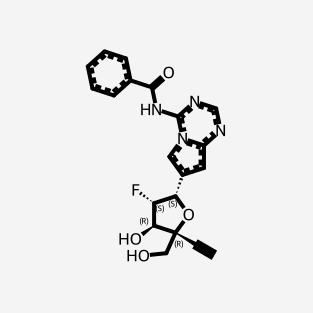 C#C[C@]1(CO)O[C@@H](c2cc3ncnc(NC(=O)c4ccccc4)n3c2)[C@@H](F)[C@@H]1O